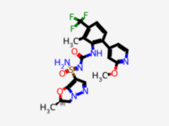 COc1cc(-c2ccc(C(F)(F)F)c(C)c2NC(=O)N=S(N)(=O)c2cnn3c2O[C@H](C)C3)ccn1